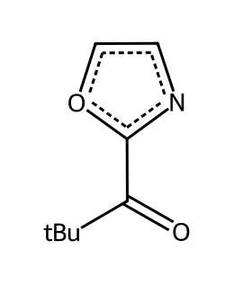 CC(C)(C)C(=O)c1ncco1